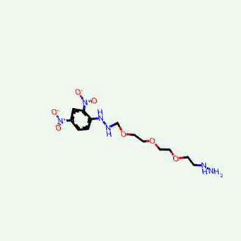 NNCCOCCOCCOCNNc1ccc([N+](=O)[O-])cc1[N+](=O)[O-]